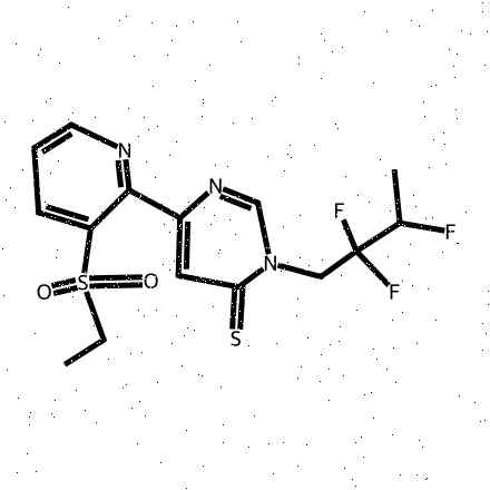 CCS(=O)(=O)c1cccnc1-c1cc(=S)n(CC(F)(F)C(C)F)cn1